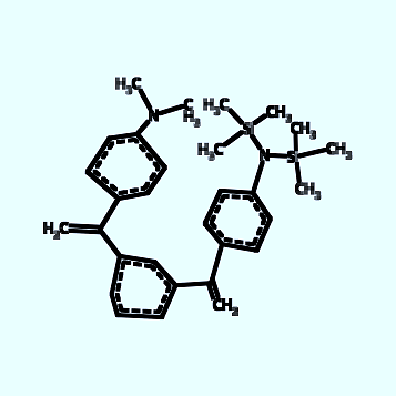 C=C(c1ccc(N(C)C)cc1)c1cccc(C(=C)c2ccc(N([Si](C)(C)C)[Si](C)(C)C)cc2)c1